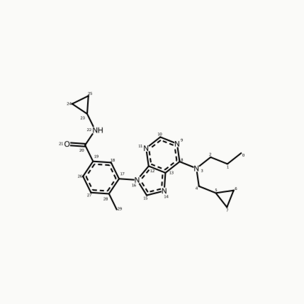 CCCN(CC1CC1)c1ncnc2c1ncn2-c1cc(C(=O)NC2CC2)ccc1C